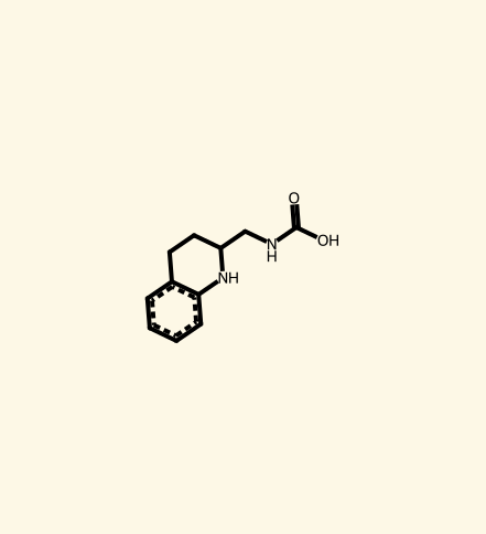 O=C(O)NCC1CCc2ccccc2N1